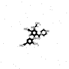 C#Cc1ccc(Nc2c(C(=O)N3CCNCC3)cc(NCC)c(C#C)c2F)c(C)c1